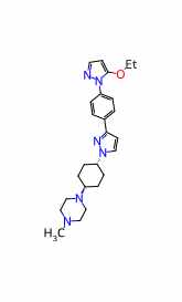 CCOc1ccnn1-c1ccc(-c2ccn([C@H]3CC[C@H](N4CCN(C)CC4)CC3)n2)cc1